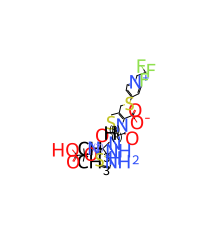 CC(C)(O/N=C(/C(=O)N[C@@H]1C(=O)N2C(C(=O)[O-])=C(CSc3cc[n+](CC(F)(F)F)cc3)CS[C@H]12)C1(N)NC=CS1)C(=O)O